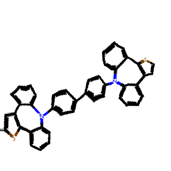 c1ccc2c(c1)-c1ccsc1-c1ccccc1N2c1ccc(-c2ccc(N3c4ccccc4-c4ccsc4-c4ccccc43)cc2)cc1